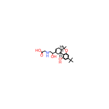 CC(C)(C)c1cc(O)c2c(c1)OC(C)(C)[C@@H]1CC=C(C(O)CNCC(=O)O)C[C@@H]21